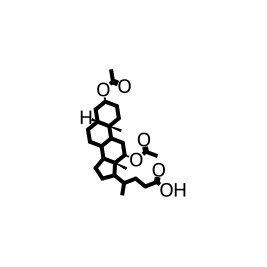 CC(=O)O[C@@H]1CC[C@]2(C)C3C[C@H](OC(C)=O)[C@]4(C)C(C(C)CCC(=O)O)CCC4C3CC[C@@H]2C1